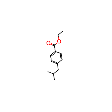 CCOC(=O)c1ccc(CC(C)C)cc1